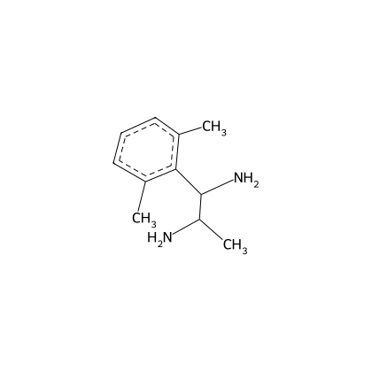 Cc1cccc(C)c1C(N)C(C)N